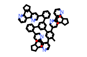 Cc1cc(-c2cc(-c3ccccc3-c3cnc4c(c3)C35CCCC3(CCC5)c3ncccc3-4)cc(-c3ccccc3-c3cnc4c(c3)C35CCCC3(CCC5)c3ncccc3-4)c2)c(-c2cnc3c(c2)C24CCCC2(CCC4)c2ncccc2-3)cc1C